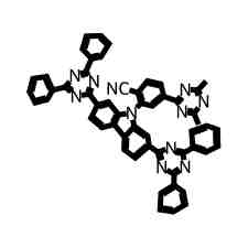 Cc1nc(C)nc(-c2ccc(C#N)c(-n3c4cc(-c5nc(-c6ccccc6)nc(-c6ccccc6)n5)ccc4c4ccc(-c5nc(-c6ccccc6)nc(-c6ccccc6)n5)cc43)c2)n1